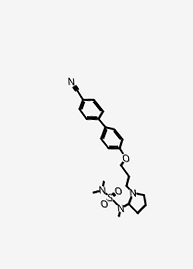 CN(C)S(=O)(=O)N(C)C1CCCN1CCCOc1ccc(-c2ccc(C#N)cc2)cc1